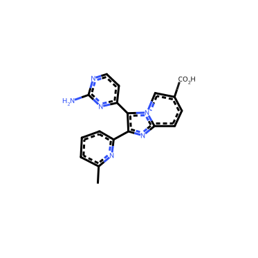 Cc1cccc(-c2nc3ccc(C(=O)O)cn3c2-c2ccnc(N)n2)n1